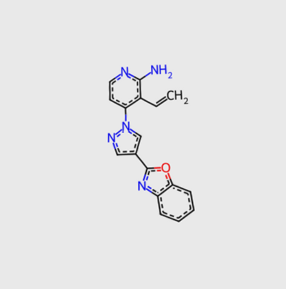 C=Cc1c(-n2cc(-c3nc4ccccc4o3)cn2)ccnc1N